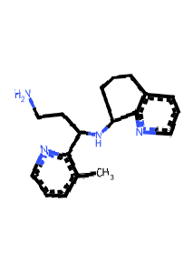 Cc1cccnc1C(CCN)NC1CCCc2cccnc21